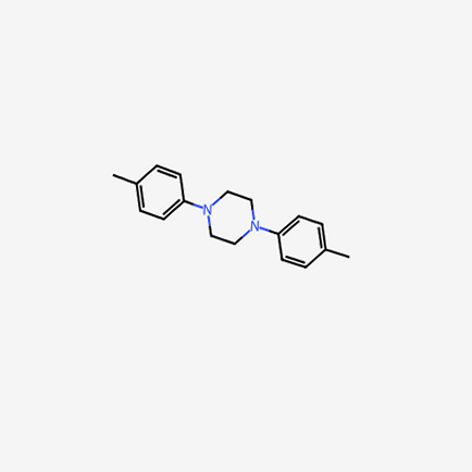 Cc1ccc(N2CCN(c3ccc(C)cc3)CC2)cc1